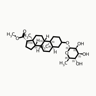 COC(=O)[C@H]1CC[C@H]2[C@@H]3CC[C@@H]4CC(O[C@H]5O[C@H](C)[C@@H](O)[C@H](O)[C@@H]5O)CC[C@]4(C)[C@H]3CC[C@]12C